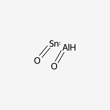 [O]=[AlH].[O]=[Sn]